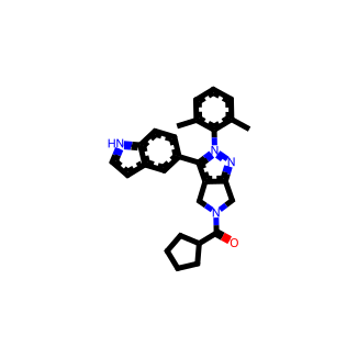 Cc1cccc(C)c1-n1nc2c(c1-c1ccc3[nH]ccc3c1)CN(C(=O)C1CCCC1)C2